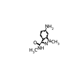 CNC(=O)c1nn(C)c2cc(N)ccc12